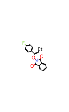 CCC=C(ON1C(=O)c2ccccc2C1=O)c1ccc(F)cc1